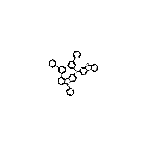 c1ccc(-c2cccc(-c3cccc4c3c3cc(N(c5cccc(-c6ccccc6)c5)c5ccc6c(c5)oc5ccccc56)ccc3n4-c3ccccc3)c2)cc1